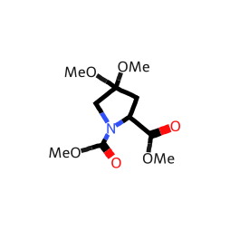 COC(=O)C1CC(OC)(OC)CN1C(=O)OC